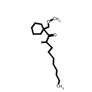 CCCCCCCCC(I)C(=O)C1(COC)CCCCC1